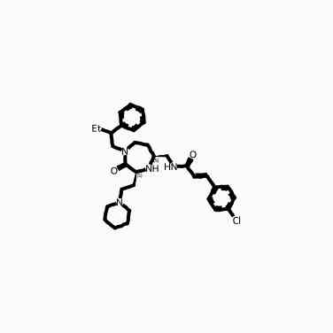 CCC(CN1CC[C@@H](CNC(=O)C=Cc2ccc(Cl)cc2)N[C@@H](CCN2CCCCC2)C1=O)c1ccccc1